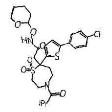 CC(C)C(=O)N1CCC(CC(=O)NOC2CCCCO2)(c2ccc(-c3ccc(Cl)cc3)s2)S(=O)(=O)CC1